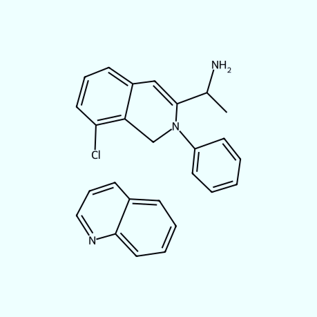 CC(N)C1=Cc2cccc(Cl)c2CN1c1ccccc1.c1ccc2ncccc2c1